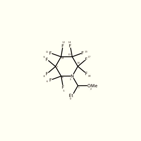 CCC(OC)N1C(F)(F)C(F)(F)C(F)(F)C(F)(F)C1(F)F